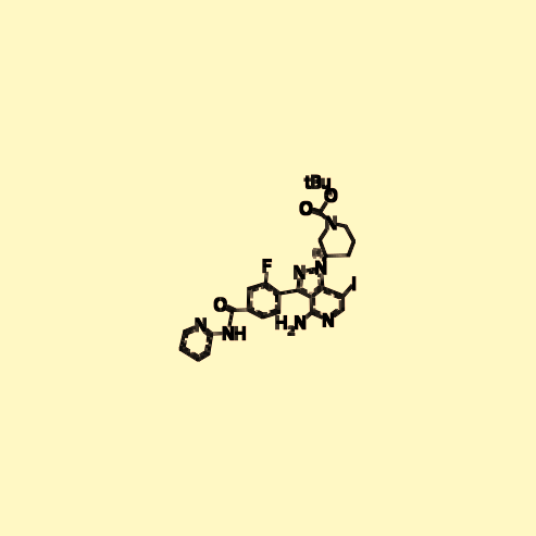 CC(C)(C)OC(=O)N1CCC[C@@H](n2nc(-c3ccc(C(=O)Nc4ccccn4)cc3F)c3c(N)ncc(I)c32)C1